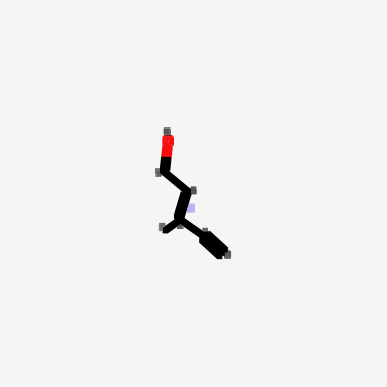 C#C/C(C)=C/C=O